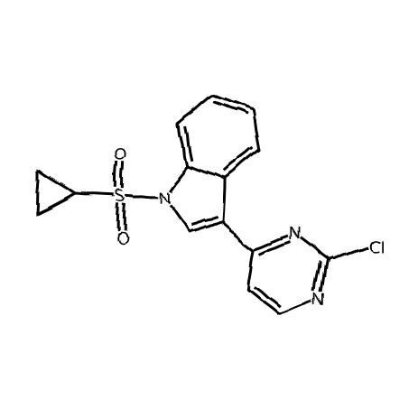 O=S(=O)(C1CC1)n1cc(-c2ccnc(Cl)n2)c2ccccc21